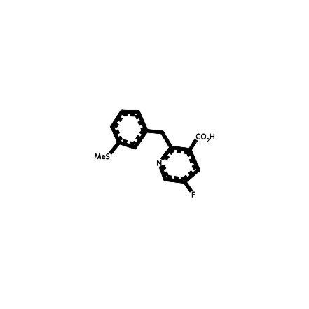 CSc1cccc(Cc2ncc(F)cc2C(=O)O)c1